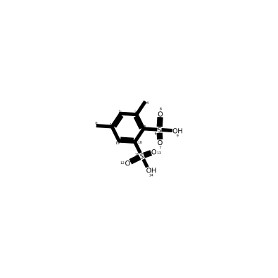 Cc1cc(C)c(S(=O)(=O)O)c(S(=O)(=O)O)c1